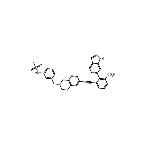 CS(=O)(=O)Nc1cccc(CN2CCc3cc(C#Cc4cccc(C(=O)O)c4-c4ccc5cc[nH]c5c4)ccc3C2)c1